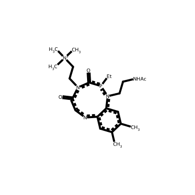 CCp1c(=O)n(CC[N+](C)(C)C)c(=O)cnc2cc(C)c(C)cc2n1CCNC(C)=O